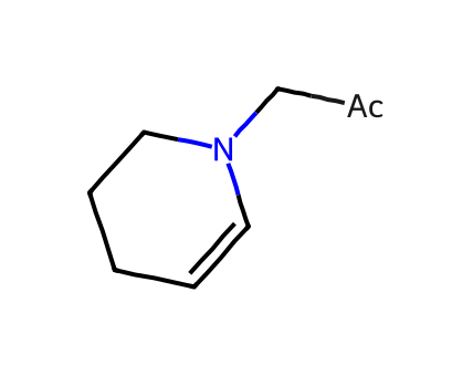 CC(=O)CN1C=CCCC1